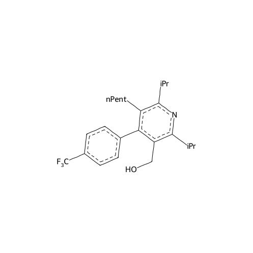 CCCCCc1c(C(C)C)nc(C(C)C)c(CO)c1-c1ccc(C(F)(F)F)cc1